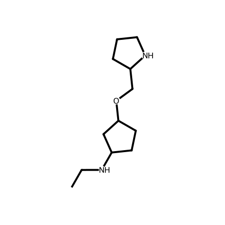 CCNC1CCC(OCC2CCCN2)C1